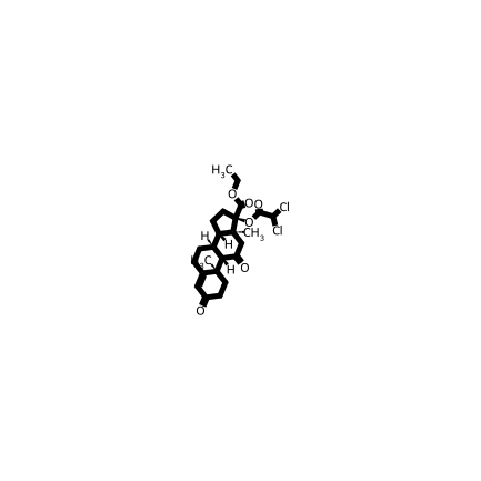 CCOC(=O)[C@@]1(OC(=O)C(Cl)Cl)CC[C@H]2[C@@H]3CCC4=CC(=O)CC[C@]4(C)[C@H]3C(=O)C[C@@]21C